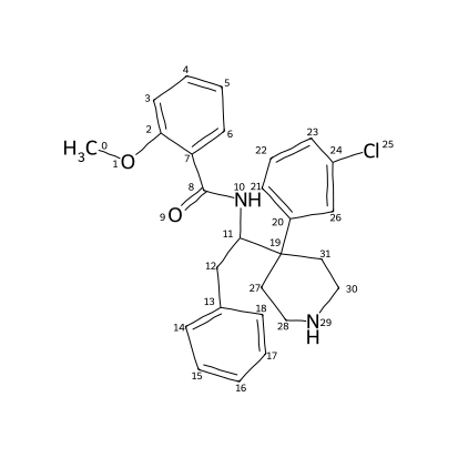 COc1ccccc1C(=O)NC(Cc1ccccc1)C1(c2cccc(Cl)c2)CCNCC1